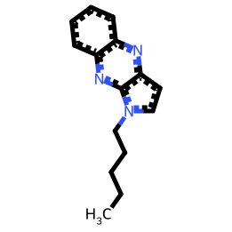 CCCCCn1ccc2nc3ccccc3nc21